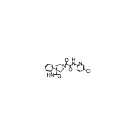 O=C(Nc1ccc(Cl)cn1)C(=O)N1CCC2(CC1)C(=O)Nc1ccccc12